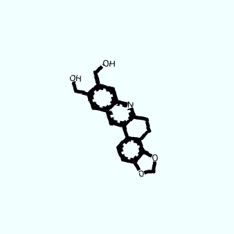 OCc1cc2cc3c(nc2cc1CO)CCc1c-3ccc2c1OCO2